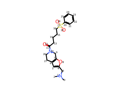 CN(C)Cc1cc2c(o1)CN(C(=O)CCCCS(=O)(=O)c1ccccc1)CC2